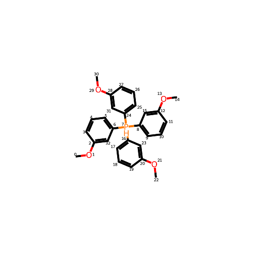 COc1cccc([PH](c2cccc(OC)c2)(c2cccc(OC)c2)c2cccc(OC)c2)c1